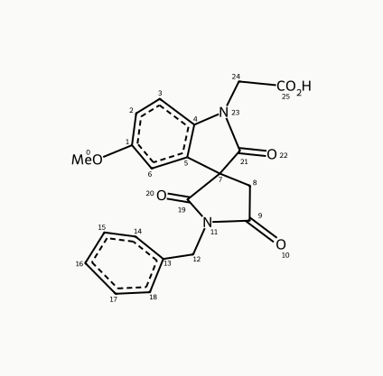 COc1ccc2c(c1)C1(CC(=O)N(Cc3ccccc3)C1=O)C(=O)N2CC(=O)O